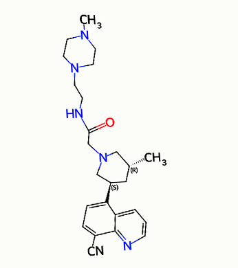 C[C@@H]1C[C@@H](c2ccc(C#N)c3ncccc23)CN(CC(=O)NCCN2CCN(C)CC2)C1